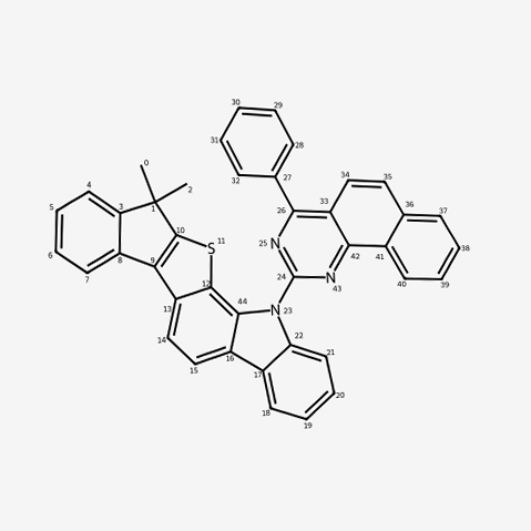 CC1(C)c2ccccc2-c2c1sc1c2ccc2c3ccccc3n(-c3nc(-c4ccccc4)c4ccc5ccccc5c4n3)c21